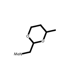 CNCC1OCCC(C)O1